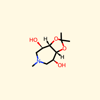 CN1C[C@@H](O)[C@@H]2OC(C)(C)O[C@@H]2[C@@H](O)C1